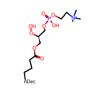 CCCCCCCCCCCCCC(=O)OC[C@H](COP(=O)(O)OCC[N+](C)(C)C)OO